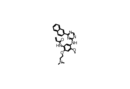 C=CC(=O)Nc1cc(Nc2ncnc(-c3ccc4ccccc4c3)n2)c(OC)cc1OCCN(C)C